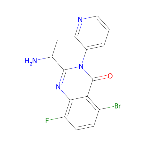 CC(N)c1nc2c(F)ccc(Br)c2c(=O)n1-c1cccnc1